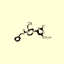 N#CC[C@H]1CN(c2cc(C(=O)O)nc(Cl)n2)CCN1C(=O)OCc1ccccc1